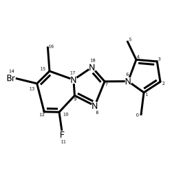 Cc1ccc(C)n1-c1nc2c(F)cc(Br)c(C)n2n1